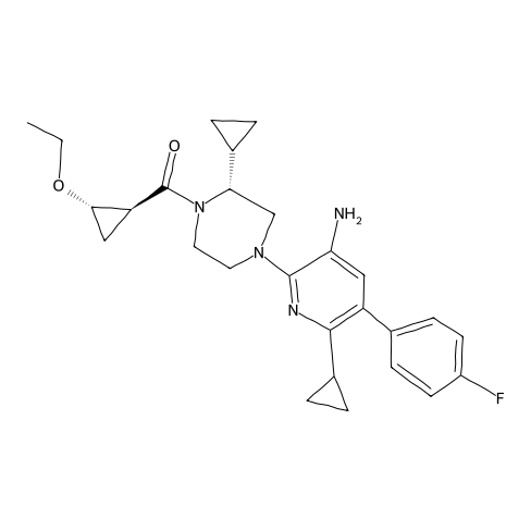 CCO[C@H]1C[C@@H]1C(=O)N1CCN(c2nc(C3CC3)c(-c3ccc(F)cc3)cc2N)C[C@H]1C1CC1